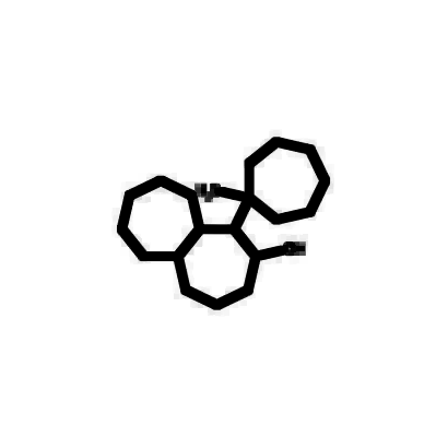 BC1(C2C(O)CCCC3CCCCCC32)CCCCCC1